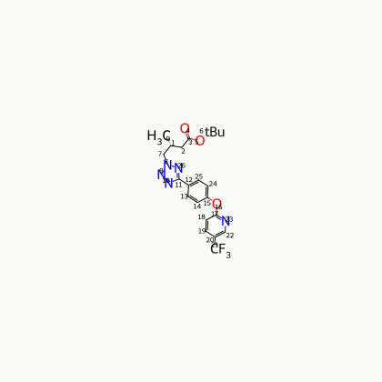 C[C@H](CC(=O)OC(C)(C)C)Cn1nnc(-c2ccc(Oc3ccc(C(F)(F)F)cn3)cc2)n1